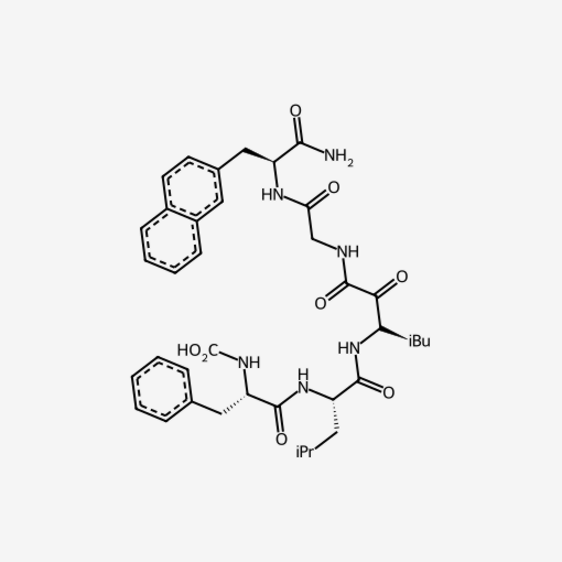 CC[C@H](C)C(NC(=O)[C@H](CC(C)C)NC(=O)[C@H](Cc1ccccc1)NC(=O)O)C(=O)C(=O)NCC(=O)N[C@@H](Cc1ccc2ccccc2c1)C(N)=O